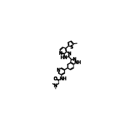 Cc1ccc(-c2ccnc3[nH]c(-c4n[nH]c5ccc(-c6cncc(NC(=O)CN(C)C)c6)cc45)nc23)s1